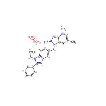 CCC1N=C2C(=CC(C)=CN2C)N1Cc1ccc2c(c1)nc(-c1ccccc1)n2CC(=O)O.O.O.O